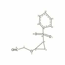 O=CCOC1CC1S(=O)(=O)c1ccccc1